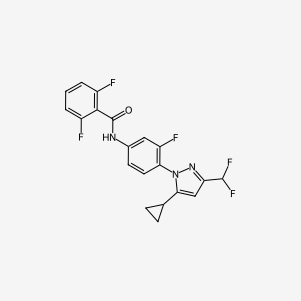 O=C(Nc1ccc(-n2nc(C(F)F)cc2C2CC2)c(F)c1)c1c(F)cccc1F